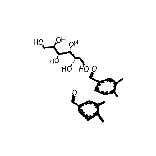 Cc1ccc(C=O)cc1C.Cc1ccc(C=O)cc1C.OC[C@@H](O)[C@@H](O)[C@H](O)[C@@H](O)CO